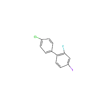 Fc1cc(I)ccc1-c1ccc(Cl)cc1